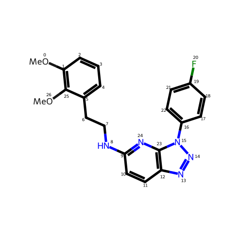 COc1cccc(CCNc2ccc3nnn(-c4ccc(F)cc4)c3n2)c1OC